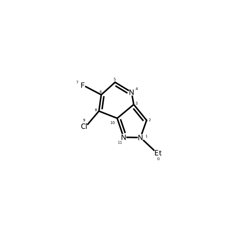 CCn1cc2ncc(F)c(Cl)c2n1